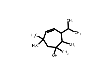 CC(C)C1C=CC(C)(C)CC(C)(O)C1C